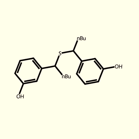 CCCCC(SC(CCCC)c1cccc(O)c1)c1cccc(O)c1